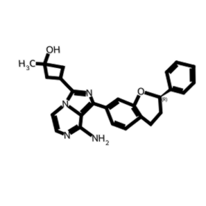 CC1(O)CC(c2nc(-c3ccc4c(c3)O[C@@H](c3ccccc3)CC4)c3c(N)nccn23)C1